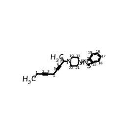 CCC#CCC#CC(C)N1CCN(n2sc3ccccc32)CC1